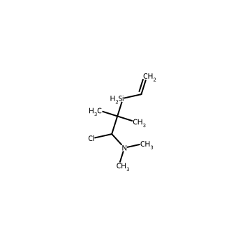 C=C[SiH2]C(C)(C)C(Cl)N(C)C